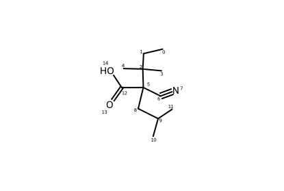 CCC(C)(C)C(C#N)(CC(C)C)C(=O)O